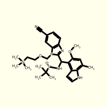 COc1cc(C)c2[nH]ccc2c1C(N[S+]([O-])C(C)(C)C)c1nc2ccc(C#N)cc2n1COCC[Si](C)(C)C